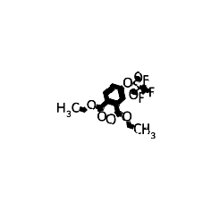 CCOC(=O)c1ccc(OS(=O)(=O)C(F)(F)F)cc1C(=O)OCC